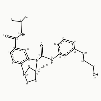 CC(C)NC(=O)c1ccc2c(n1)N(C(=O)Nc1cc(OCCO)ccn1)[C@H]1CCN2C1